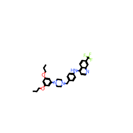 CCCOc1cc(OCCC)cc(N2CCN(Cc3ccc(Nc4ccnc5cc(C(F)(F)F)ccc45)cc3)CC2)c1